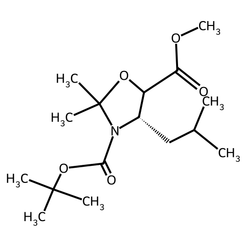 COC(=O)C1OC(C)(C)N(C(=O)OC(C)(C)C)[C@H]1CC(C)C